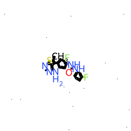 Cc1sc2ncnc(N)c2c1-c1ccc(NC(=O)Nc2cccc(F)c2)c(F)c1